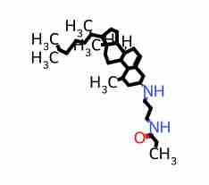 CCC(=O)NCCCN[C@@H]1CC2=CC[C@H]3C(CCC4(C)C([C@H](C)CCCC(C)C)CC[C@@H]34)C2C(C)C1